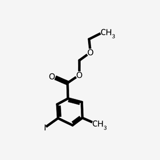 CCOCOC(=O)c1cc(C)cc(I)c1